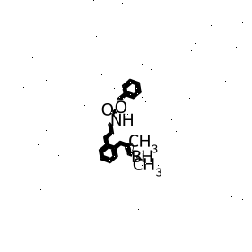 CBC[C@@H](C)Cc1ccccc1CCCNC(=O)OCc1ccccc1